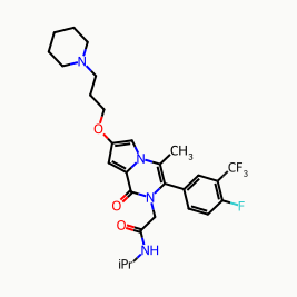 Cc1c(-c2ccc(F)c(C(F)(F)F)c2)n(CC(=O)NC(C)C)c(=O)c2cc(OCCCN3CCCCC3)cn12